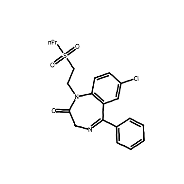 CCCS(=O)(=O)CCN1C(=O)CN=C(c2ccccc2)c2cc(Cl)ccc21